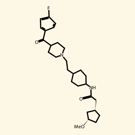 CO[C@H]1CC[C@@H](CC(=O)NC2CCC(CCN3CCC(C(=O)c4ccc(F)cc4)CC3)CC2)C1